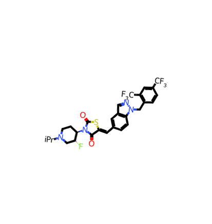 CC(C)N1CC[C@@H](N2C(=O)SC(=Cc3ccc4c(cnn4Cc4ccc(C(F)(F)F)cc4C(F)(F)F)c3)C2=O)[C@H](F)C1